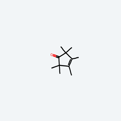 CC1=C(C)C(C)(C)C(=O)C1(C)C